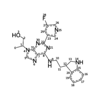 CC(CO)n1cnc2c(NCCC3CNc4ccccc43)nc(-c3cncc(F)c3)nc21